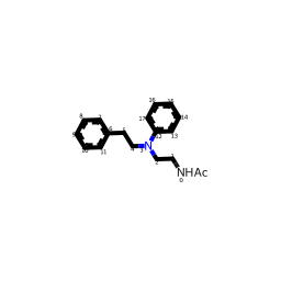 CC(=O)NCCN(CCc1ccccc1)c1ccccc1